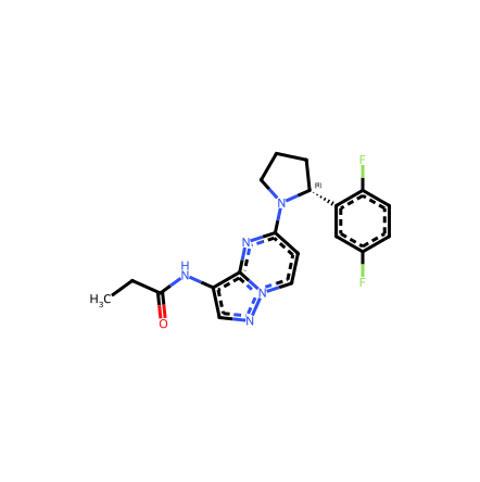 CCC(=O)Nc1cnn2ccc(N3CCC[C@@H]3c3cc(F)ccc3F)nc12